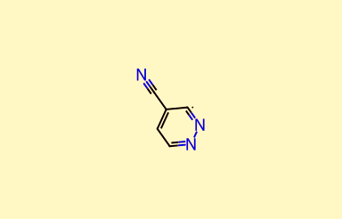 N#Cc1[c]nncc1